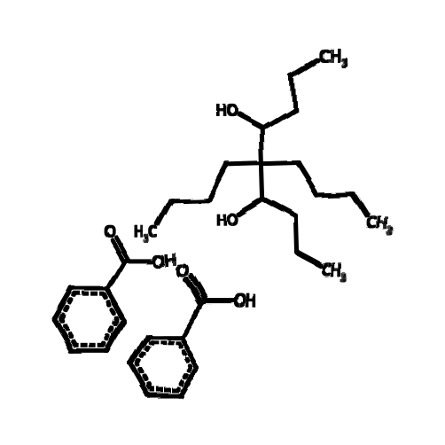 CCCCC(CCCC)(C(O)CCC)C(O)CCC.O=C(O)c1ccccc1.O=C(O)c1ccccc1